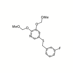 COCOc1cc(SCc2cccc(F)c2)cnc1OCOC